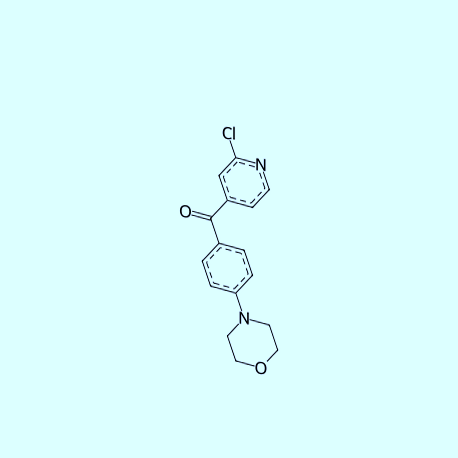 O=C(c1ccc(N2CCOCC2)cc1)c1ccnc(Cl)c1